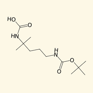 CC(C)(CCCNC(=O)OC(C)(C)C)NC(=O)O